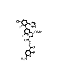 COC1C[C@@H](C(=O)OCC(=O)c2ccc(N)nc2F)n2c1cc(-c1c(-n3cnnn3)ccc(Cl)c1F)cc2=O